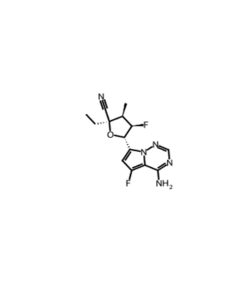 CC[C@@]1(C#N)O[C@@H](c2cc(F)c3c(N)ncnn23)[C@H](F)[C@@H]1C